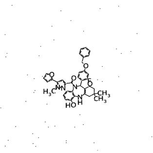 Cn1nc(C(=O)N2c3cccc(O)c3NC3=C(C(=O)CC(C)(C)C3)C2c2ccc(OCc3ccccc3)cc2F)cc1-c1ccco1